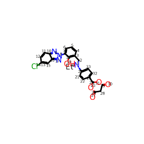 CCN(Cc1cccc(-n2nc3ccc(Cl)cc3n2)c1O)c1ccc(C2OC(=O)CC(=O)O2)cc1